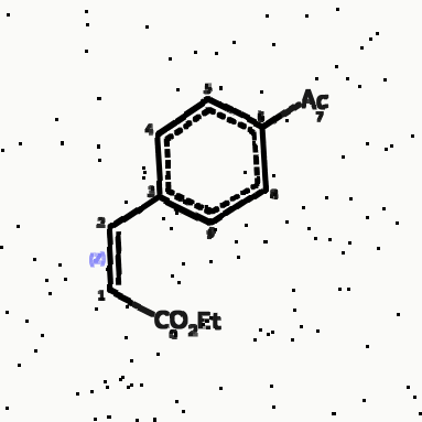 CCOC(=O)/C=C\c1ccc(C(C)=O)cc1